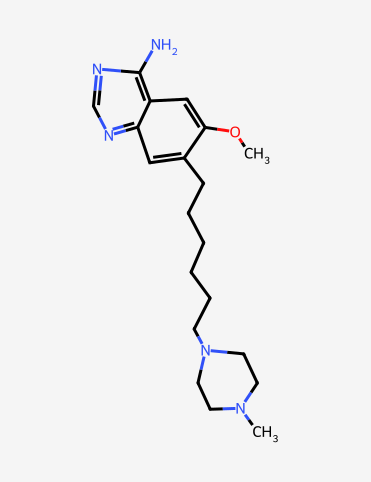 COc1cc2c(N)ncnc2cc1CCCCCCN1CCN(C)CC1